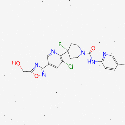 Cc1ccc(NC(=O)N2CCC(F)(c3ncc(-c4noc(CO)n4)cc3Cl)CC2)nc1